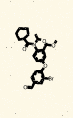 COC(=O)c1cc(Oc2ccc(C=O)cc2Br)ccc1N(C(=O)C1CCCCC1)C(C)C